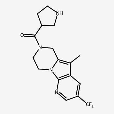 Cc1c2n(c3ncc(C(F)(F)F)cc13)CCN(C(=O)C1CCNC1)C2